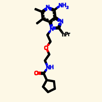 CCCc1nc2c(N)nc(C)c(C)c2n1CCOCCNC(=O)C1CCCC1